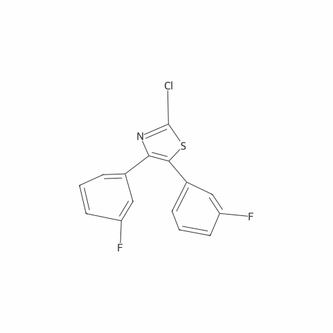 Fc1cccc(-c2nc(Cl)sc2-c2cccc(F)c2)c1